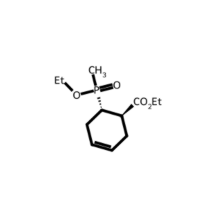 CCOC(=O)[C@H]1CC=CC[C@@H]1P(C)(=O)OCC